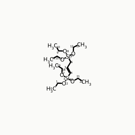 CCO[Si](C=CC[Si](OCC)(OCC)OCC)(OCC)OCC